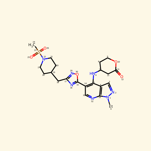 CCn1ncc2c(NC3CCOC(=O)C3)c(-c3nc(CC4CCN(S(C)(=O)=O)CC4)no3)cnc21